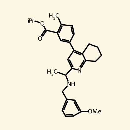 COc1cccc(CNC(C)c2cc(-c3ccc(C)c(C(=O)OC(C)C)c3)c3c(n2)CCCC3)c1